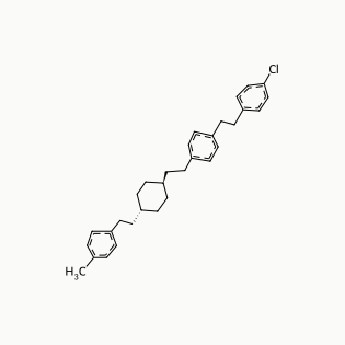 Cc1ccc(CC[C@H]2CC[C@H](CCc3ccc(CCc4ccc(Cl)cc4)cc3)CC2)cc1